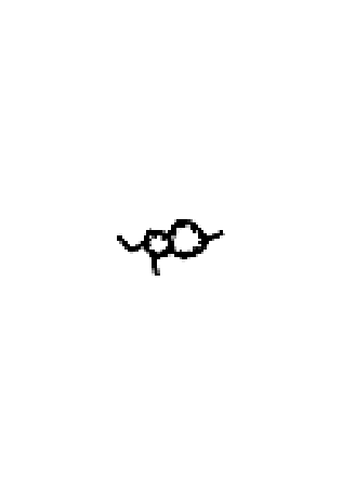 CCc1cc2ccc(C)ccc-2c1C